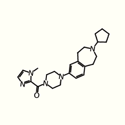 Cn1ccnc1C(=O)N1CCN(c2ccc3c(c2)CCN(C2CCCC2)CC3)CC1